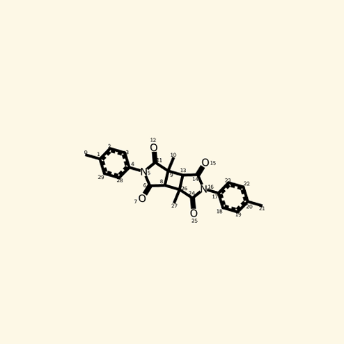 Cc1ccc(N2C(=O)C3C(C)(C2=O)C2C(=O)N(c4ccc(C)cc4)C(=O)C32C)cc1